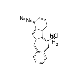 Cl.[N-]=[N+]=C1C=CCC2C1=CC1C=c3ccccc3=CC(N)=C12